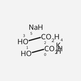 O=C(O)O.O=C(O)O.[KH].[NaH]